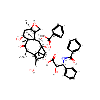 CC(=O)O[C@H]1C(=O)[C@@]2(C)[C@H]([C@H](OC(=O)c3ccccc3)[C@]3(O)C[C@H](OC(=O)[C@H](O)[C@@H](NC(=O)c4ccccc4)c4ccccc4)C(C)=C1C3(C)C)[C@]1(OC(C)=O)CO[C@@H]1C[C@@H]2O.O